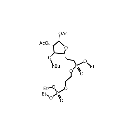 CCCCOC1[C@@H](CCP(=O)(OCC)OCCOP(=O)(OCC)OCC)O[C@@H](OC(C)=O)[C@H]1OC(C)=O